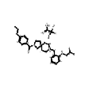 CCCc1ccc(C(=O)N2CCC3(CCN(Cc4ccccc4OCC(C)C)CC3)C2)cc1.O=C(O)C(F)(F)F